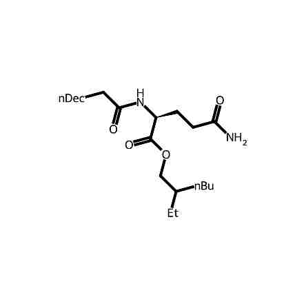 CCCCCCCCCCCC(=O)N[C@@H](CCC(N)=O)C(=O)OCC(CC)CCCC